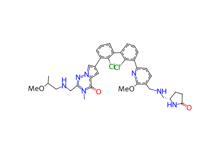 COc1nc(-c2cccc(-c3cccc(-c4cc5c(=O)n(C)c(CNCC(C)OC)nn5c4)c3Cl)c2Cl)ccc1CNC[C@@H]1CCC(=O)N1